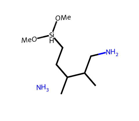 CO[SiH](CCC(C)C(C)CN)OC.N